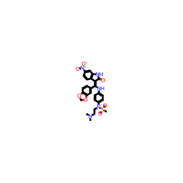 CN(C)CCN(c1ccc(N/C(=C2\C(=O)Nc3cc([N+](=O)[O-])ccc32)c2ccc3c(c2)OCO3)cc1)S(C)(=O)=O